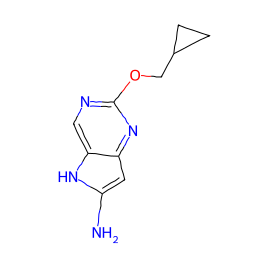 Nc1cc2nc(OCC3CC3)ncc2[nH]1